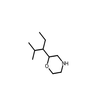 CCC(C(C)C)C1CNCCO1